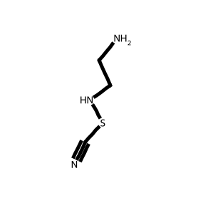 N#CSNCCN